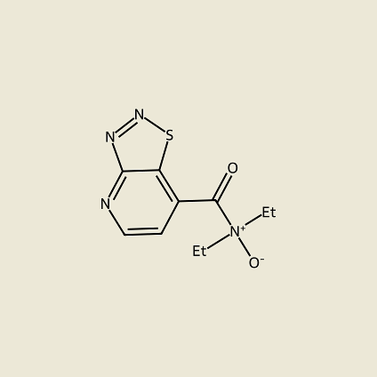 CC[N+]([O-])(CC)C(=O)c1ccnc2nnsc12